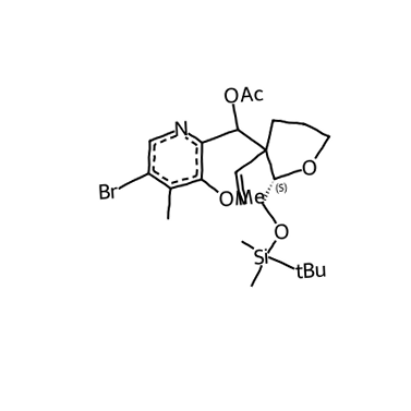 C=CC1(C(OC(C)=O)c2ncc(Br)c(C)c2OC)CCCO[C@@H]1CO[Si](C)(C)C(C)(C)C